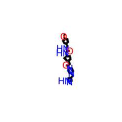 COc1ccc(CNC(=O)Nc2ccc(CC(=O)N3CCN(Cc4cn[nH]c4)CC3)cc2)cc1